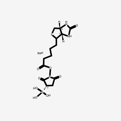 O=C1N[C@H]2CSC(CCCCC(=O)ON3C(=O)C[C@H](S(O)(O)O)C3=O)[C@H]2N1.[NaH]